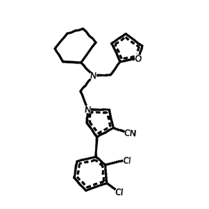 N#Cc1cn(CN(Cc2ccco2)C2CCCCC2)cc1-c1cccc(Cl)c1Cl